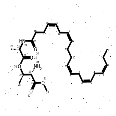 CC/C=C\C/C=C\C/C=C\CC/C=C\C/C=C\CCC(=O)N[C@@H](C)C(=O)O[C@H](C)[C@H](N)C(=O)OC